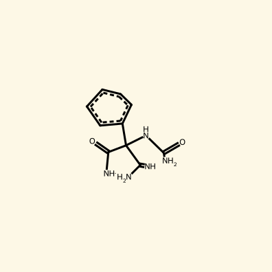 [NH]C(=O)C(NC(N)=O)(C(=N)N)c1ccccc1